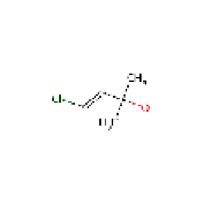 CC(C)([O])C=CCl